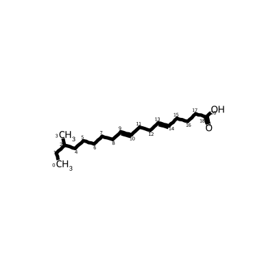 CCC(C)CCCCCC=CCCC=CCCCC(=O)O